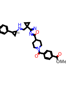 COC(=O)c1ccc(C(=O)N2CCC(c3nc(C4(CN[C@H]5CC5c5ccccc5)CC4)no3)CC2)cc1